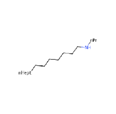 [CH2]CCNCCCCCCCCCCCCCC